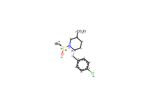 CCOC(=O)C1CC[C@H](Cc2ccc(Cl)cc2)N([S@@+]([O-])C(C)(C)C)C1